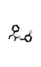 CCN(c1ccccc1)C(C)OCc1cccc(Cl)c1